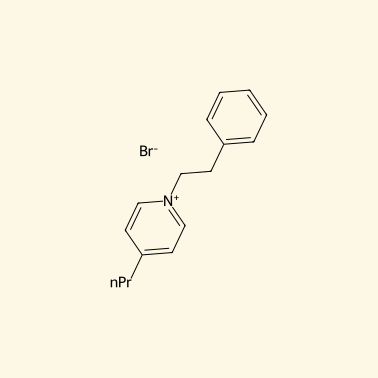 CCCc1cc[n+](CCc2ccccc2)cc1.[Br-]